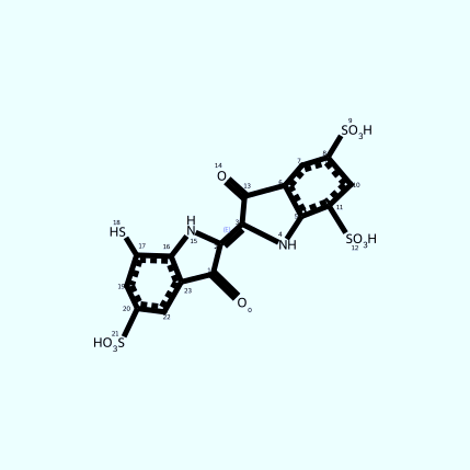 O=C1/C(=C2\Nc3c(cc(S(=O)(=O)O)cc3S(=O)(=O)O)C2=O)Nc2c(S)cc(S(=O)(=O)O)cc21